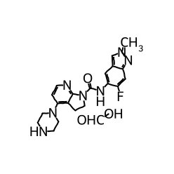 Cn1cc2cc(NC(=O)N3CCc4c(N5CCNCC5)ccnc43)c(F)cc2n1.O=CO